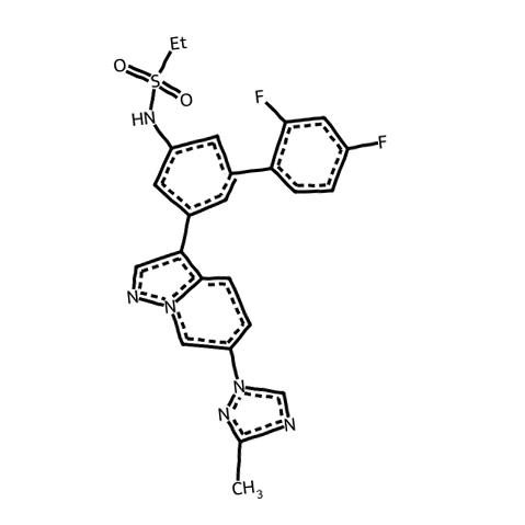 CCS(=O)(=O)Nc1cc(-c2ccc(F)cc2F)cc(-c2cnn3cc(-n4cnc(C)n4)ccc23)c1